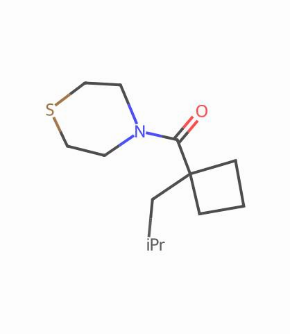 CC(C)CC1(C(=O)N2CCSCC2)CCC1